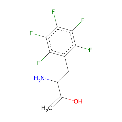 C=C(O)C(N)Cc1c(F)c(F)c(F)c(F)c1F